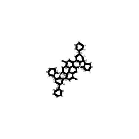 Cc1cc2c3c(cc4c(C)cc5c6c(cc1c3c46)B1c3ccccc3-c3cc(-c4ccccc4)cc-5c31)B1c3ccccc3-c3cc(-c4ccccc4)cc-2c31